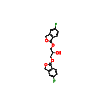 OC(COB1OCc2cc(F)ccc21)COB1OCc2cc(F)ccc21